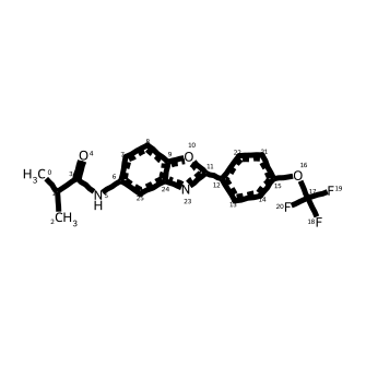 CC(C)C(=O)Nc1ccc2oc(-c3ccc(OC(F)(F)F)cc3)nc2c1